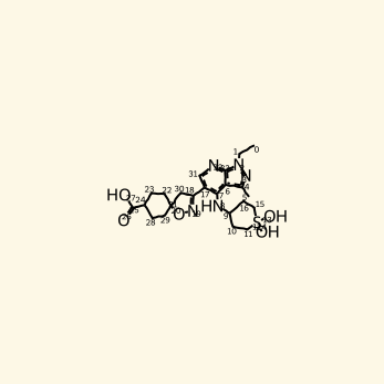 CCn1nc(C)c2c(NC3CCS(O)(O)CC3)c(C3=NOC4(CCC(C(=O)O)CC4)C3)cnc21